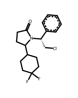 O=C1CCC(C2CCC(F)(F)CC2)N1[C@@H](CCl)c1ccccc1